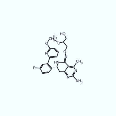 COc1cccc(-c2cc(F)ccc2[C@H]2Cc3nc(N)nc(C)c3/C(=N/OCC(CO)OC)N2)n1